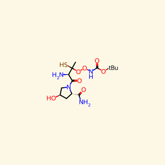 CC(C)(C)OC(=O)NOOC(C)(S)[C@H](N)C(=O)N1C[C@H](O)C[C@H]1C(N)=O